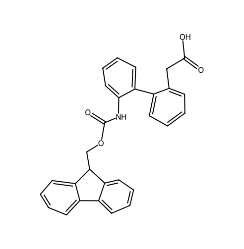 O=C(O)Cc1ccccc1-c1ccccc1NC(=O)OCC1c2ccccc2-c2ccccc21